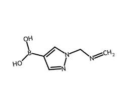 C=NCn1cc(B(O)O)cn1